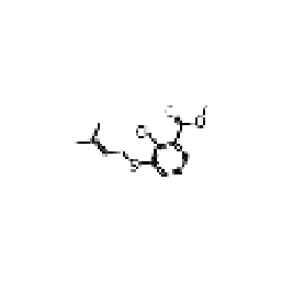 COC(=O)c1cccc(SCC=C(C)C)c1Cl